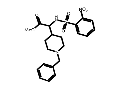 COC(=O)C(NS(=O)(=O)c1ccccc1[N+](=O)[O-])C1CCN(Cc2ccccc2)CC1